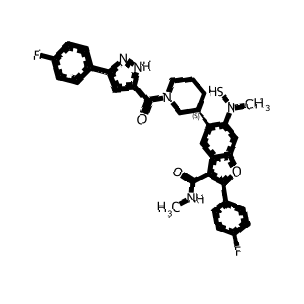 CNC(=O)c1c(-c2ccc(F)cc2)oc2cc(N(C)S)c([C@@H]3CCCN(C(=O)c4cc(-c5ccc(F)cc5)n[nH]4)C3)cc12